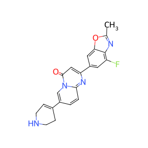 Cc1nc2c(F)cc(-c3cc(=O)n4cc(C5=CCNCC5)ccc4n3)cc2o1